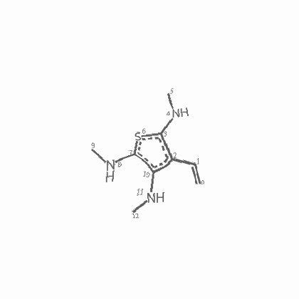 C=Cc1c(NC)sc(NC)c1NC